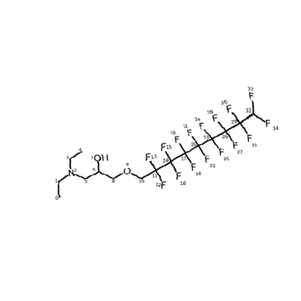 CCN(CC)CC(O)COCC(F)(F)C(F)(F)C(F)(F)C(F)(F)C(F)(F)C(F)(F)C(F)(F)C(F)F